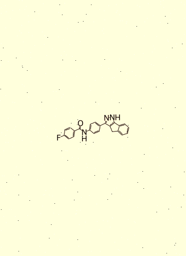 O=C(Nc1ccc(-c2n[nH]c3c2Cc2ccccc2-3)cc1)c1ccc(F)cc1